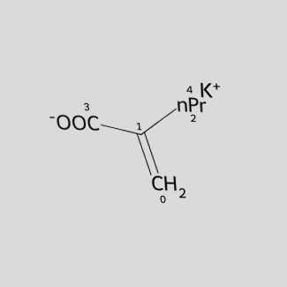 C=C(CCC)C(=O)[O-].[K+]